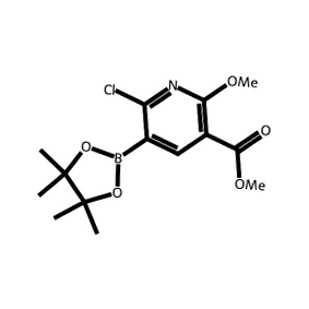 COC(=O)c1cc(B2OC(C)(C)C(C)(C)O2)c(Cl)nc1OC